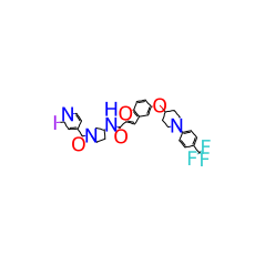 O=C(NC1CCN(C(=O)c2ccnc(I)c2)C1)c1cc2cc(OC3CCN(c4ccc(C(F)(F)F)cc4)CC3)ccc2o1